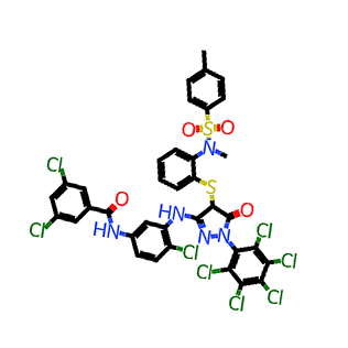 Cc1ccc(S(=O)(=O)N(C)c2ccccc2SC2C(=O)N(c3c(Cl)c(Cl)c(Cl)c(Cl)c3Cl)N=C2Nc2cc(NC(=O)c3cc(Cl)cc(Cl)c3)ccc2Cl)cc1